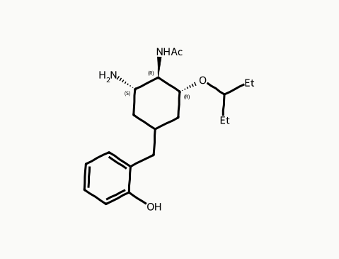 CCC(CC)O[C@@H]1CC(Cc2ccccc2O)C[C@H](N)[C@H]1NC(C)=O